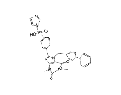 Cn1c(=O)c2c(nc(-c3ccc(P(=O)(O)n4ccnc4)cc3)n2Cc2ccc(-c3ccccc3)cc2)n(C)c1=O